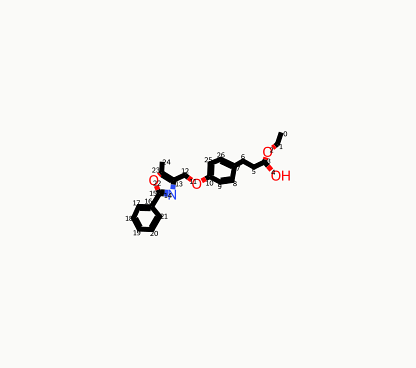 CCOC(O)CCc1ccc(OCc2nc(-c3ccccc3)oc2C)cc1